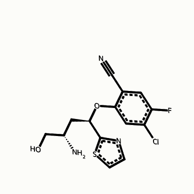 N#Cc1cc(F)c(Cl)cc1O[C@H](C[C@H](N)CO)c1nccs1